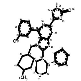 CC1CCC(Cn2c(N3CCOC[C@H]3c3ccccc3)nc3nc(-c4n[nH]c(=O)o4)nc(-c4cccc(Cl)c4)c32)CC1